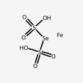 O=S(=O)(O)[Se]S(=O)(=O)O.[Fe]